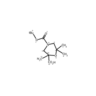 CC(C)(C)OC(=O)N1CC(C)(C)OC(C)(C(=O)O)C1